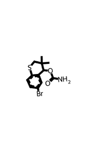 CC1(C)CSc2ccc(Br)cc2C1OC(N)=O